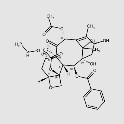 CC(=O)O[C@H]1C(=O)[C@]2(C)[C@@H](OPP)C[C@H]3OC[C@@]3(OC(C)=O)[C@H]2[C@H](OC(=O)c2ccccc2)[C@]2(O)CC(O)C(C)=C1C2(C)C